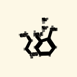 CC(=O)Oc1ccccc1C(=O)O.O=C([O-])CCC(=O)[O-].[Na+].[Na+]